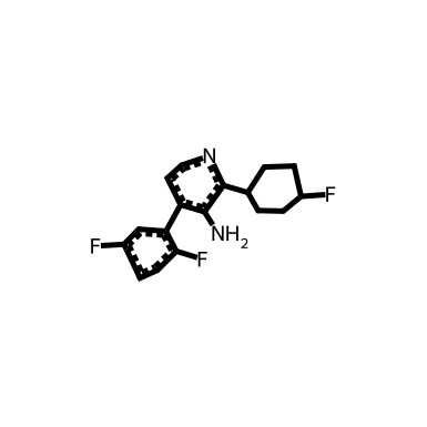 Nc1c(-c2cc(F)ccc2F)ccnc1C1CCC(F)CC1